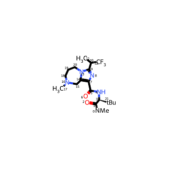 CNC(=O)[C@@H](NC(=O)c1nc(C(C)C(F)(F)F)n2c1CN(C)CCC2)C(C)(C)C